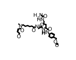 CN(CCCCCC(=O)NCC(=O)NC(CCCNC(N)=O)C(=O)Nc1ccc(COC=O)cc1)C(=O)/C=C\C=O